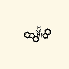 [CH3][SnH]([CH3])[Hf]([c]1cccc2c1Cc1ccccc1-2)[CH]1C=Cc2ccccc21